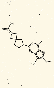 CCc1nn2c(C)cc(N3CCC4(CN(C(=O)O)C4)C3)cc2c1N